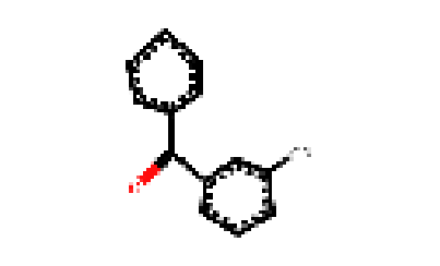 N#Cc1cccc(C(=O)c2[c]cccc2)c1